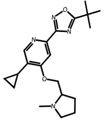 CN1CCCC1COc1cc(-c2noc(C(C)(C)C)n2)ncc1C1CC1